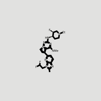 CCN1CC[C@@H](Nc2nc(NC)c3c(-c4ccc5nc(C)n(CC(F)F)c5n4)ccn3n2)[C@@H](F)C1